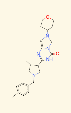 Cc1ccc(CN2CC(C)C(C3=NC4=CN(C5CCOCC5)CN4C(=O)N3)C2)cc1